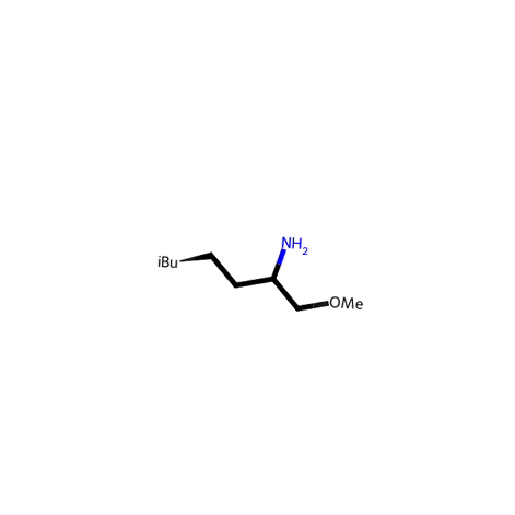 CC[C@H](C)CCC(N)COC